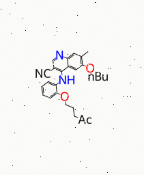 CCCCOc1cc2c(Nc3ccccc3OCCCC(C)=O)c(C#N)cnc2cc1C